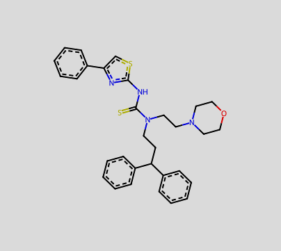 S=C(Nc1nc(-c2ccccc2)cs1)N(CCC(c1ccccc1)c1ccccc1)CCN1CCOCC1